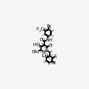 CN1C(C(C)(C)C)C(O)=C(C(=O)Nc2ccc(Br)c(C(F)(F)F)c2)C(=O)N1Cc1cccc(F)c1F